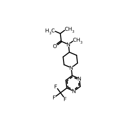 CC(C)C(=O)N(C)C1CCN(c2cc(C(F)(F)F)ncn2)CC1